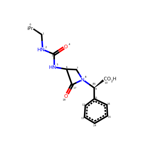 CC(C)CNC(=O)NC1CN([C@@H](C(=O)O)c2ccccc2)C1=O